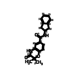 CC1(C)Oc2ccc(C(=O)NC3Cc4ccccc4C3)cc2NC1=O